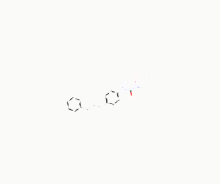 CON(C)C(=O)Nc1ccc(SCCc2ccccc2)cc1